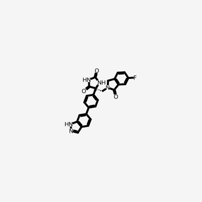 O=C1NC(=O)[C@](CN2Cc3ccc(F)cc3C2=O)(c2ccc(-c3ccc4cn[nH]c4c3)cc2)N1